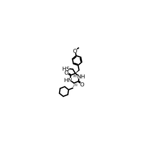 COc1ccc(C[C@@]2(CS)NC(=O)[C@H](CC3CCCCC3)NC2=O)cc1